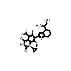 COc1c(-c2cc3c(s2)CCCC3C(N)CO)c(F)c(C(F)F)c2c(=O)[nH]c(=O)n(C3CC3)c12